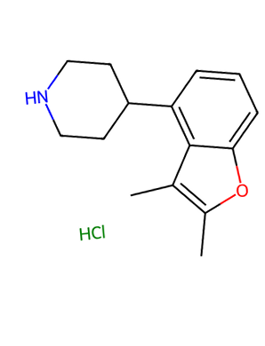 Cc1oc2cccc(C3CCNCC3)c2c1C.Cl